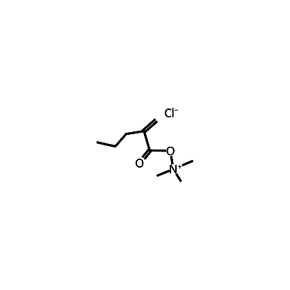 C=C(CCC)C(=O)O[N+](C)(C)C.[Cl-]